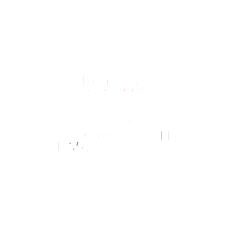 [CH2]C(=O)O.[CaH2].[MgH2]